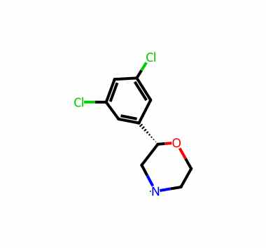 Clc1cc(Cl)cc([C@H]2C[N]CCO2)c1